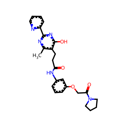 Cc1nc(-c2ccccn2)nc(O)c1CCC(=O)Nc1cccc(OCC(=O)N2CCCC2)c1